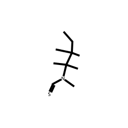 CCC(C)(C)C(C)(C)N(C)[C]=S